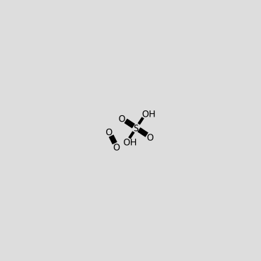 O=O.O=S(=O)(O)O